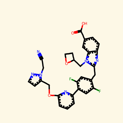 N#CCn1nccc1COc1cccc(-c2cc(F)c(Cc3nc4ccc(C(=O)O)cc4n3CC3CCO3)cc2F)n1